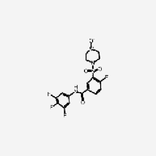 O=C(Nc1cc(F)c(F)c(F)c1)c1ccc(F)c(S(=O)(=O)N2CC[S+]([O-])CC2)c1